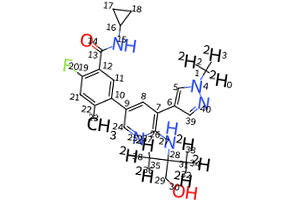 [2H]C([2H])([2H])n1cc(-c2cc(-c3cc(C(=O)NC4CC4)c(F)cc3C)cnc2NC(CO)(C([2H])([2H])[2H])C([2H])([2H])[2H])cn1